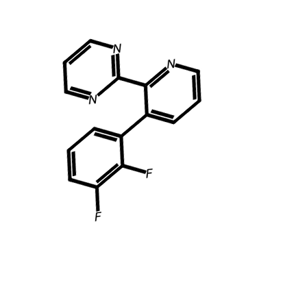 Fc1cccc(-c2cccnc2-c2ncccn2)c1F